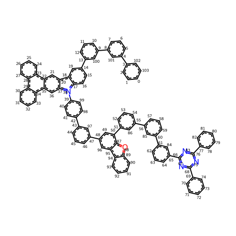 c1ccc(-c2cccc(-c3cccc(-c4ccc5c(c4)c4cc6c7ccccc7c7ccccc7c6cc4n5-c4ccc(-c5cccc(-c6cc(-c7cccc(-c8cccc(-c9cccc(-c%10nc(-c%11ccccc%11)nc(-c%11ccccc%11)n%10)c9)c8)c7)c7oc8ccccc8c7c6)c5)cc4)c3)c2)cc1